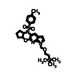 Cc1ccc(S(=O)(=O)N2c3cc4ccn(COCC[Si](C)(C)C)c4nc3OC3CCCC32)cc1